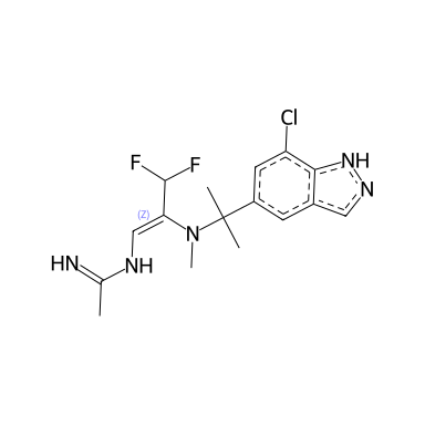 CC(=N)N/C=C(/C(F)F)N(C)C(C)(C)c1cc(Cl)c2[nH]ncc2c1